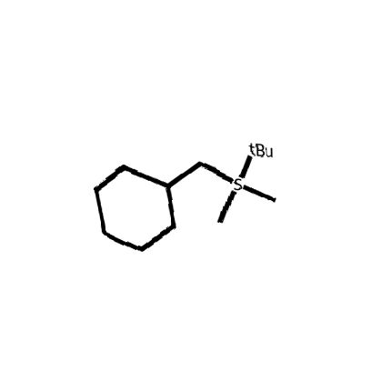 CC(C)(C)S(C)(C)CC1CCCCC1